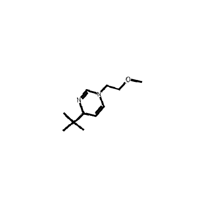 COCCN1C=CC(C(C)(C)C)N=C1